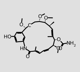 CO[C@H]1[C@@H](OC)CC[C@@H](OC)c2cc(O)cc(c2)NC(=O)/C(C)=C/C=C/[C@H](OC)[C@@H](OC(N)=O)/C(C)=C/[C@@H]1C